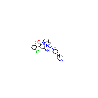 Cn1c(=O)c(-c2c(Cl)cccc2Cl)cc2cnc(Nc3ccc(N4CCNCC4)cc3)nc21